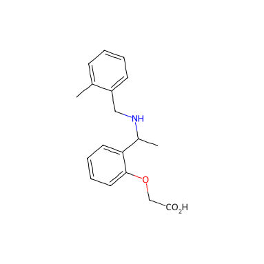 Cc1ccccc1CNC(C)c1ccccc1OCC(=O)O